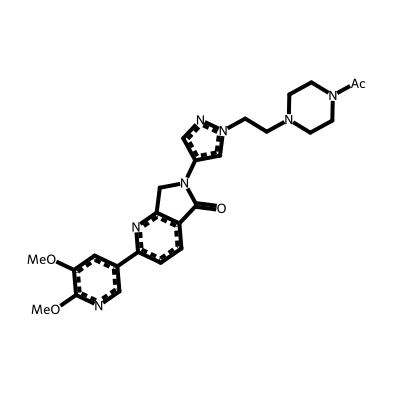 COc1cc(-c2ccc3c(n2)CN(c2cnn(CCN4CCN(C(C)=O)CC4)c2)C3=O)cnc1OC